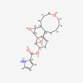 O=C(OC1CC=C2C3C1OC21CCCCOCCCC1C1OC13)c1ccc[nH]1